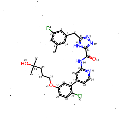 Cc1cc(F)cc(Cc2nnc(C(=O)Nc3cc(-c4cc(OCCCC(C)(C)O)ccc4Cl)ccn3)[nH]2)c1